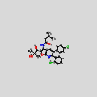 CC(C)CC(=O)Nc1c(C(=O)C(C)(C)O)oc2nc(-c3ccccc3Cl)c(-c3ccc(Cl)cc3)cc12